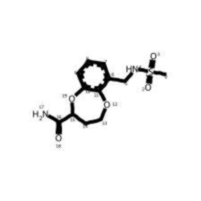 CS(=O)(=O)NCc1c[c]cc2c1OCCC(C(N)=O)O2